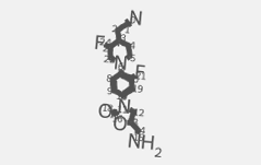 N#CC[C]1[CH]CN(c2ccc(N3CC(CN)OC3=O)cc2F)CC1F